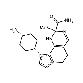 CSC1(C(N)=O)N=CC2=C(N1)c1c(ccn1[C@H]1CC[C@@H](N)CC1)CC2